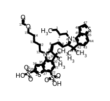 CCCC[N+]1=C(/C=C/C=C2/N(CCCCCOC=O)c3c(cc(S(=O)(=O)O)c4sc(S(=O)(=O)O)cc34)C2(C)C)C(C)(C)c2ccc3sccc3c21